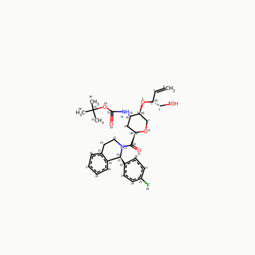 C=C[C@H](CO)O[C@H]1CO[C@@H](C(=O)N2CCc3ccccc3[C@@H]2c2ccc(F)cc2)C[C@@H]1NC(=O)OC(C)(C)C